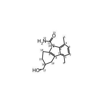 Cc1ccc(C)c2c1c1c(n2C(N)=O)CC[C](CO)C1